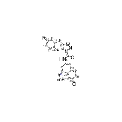 CCC/C=C(/CCNC(=O)c1cc(Cc2cc(F)ccc2F)on1)c1cc(Cl)ccc1C